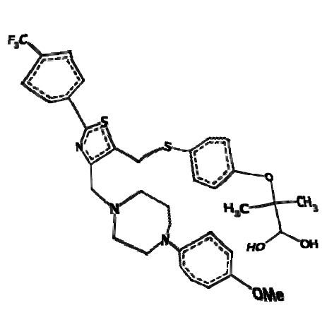 COc1ccc(N2CCN(Cc3nc(-c4ccc(C(F)(F)F)cc4)sc3CSc3ccc(OC(C)(C)C(O)O)cc3)CC2)cc1